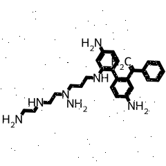 C=C(c1ccccc1)c1cc(N)ccc1-c1ccc(N)cc1NCCCN(N)CCNCCN